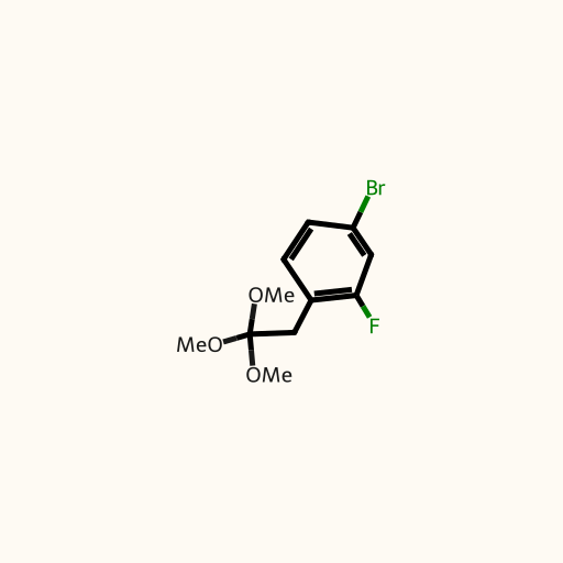 COC(Cc1ccc(Br)cc1F)(OC)OC